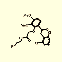 COc1ccc(C(=O)Cc2c(Cl)cncc2Cl)c(OCC(=O)NCCC(C)C)c1OC